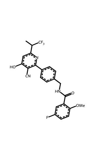 COc1ccc(F)cc1C(=O)NCc1ccc(-c2nc(C(C)C(F)(F)F)cc(O)c2C#N)cc1